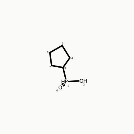 O=[PH](O)C1CCCC1